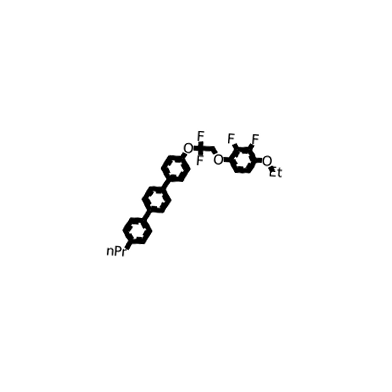 CCCc1ccc(-c2ccc(-c3ccc(OC(F)(F)COc4ccc(OCC)c(F)c4F)cc3)cc2)cc1